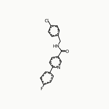 O=C(NCc1ccc(Cl)cc1)c1ccc(-c2ccc(F)cc2)nc1